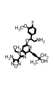 CCn1c(-c2nonc2N)nc2c(C#CC(C)(C)O)nc(OC(CN)c3ccc(F)c(OC)c3)cc21